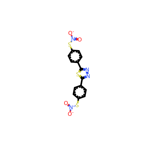 O=[N+]([O-])Sc1ccc(-c2nnc(-c3ccc(S[N+](=O)[O-])cc3)s2)cc1